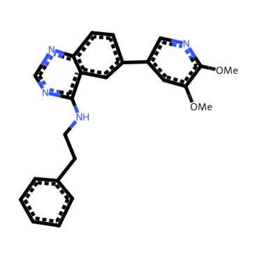 COc1cc(-c2ccc3ncnc(NCCc4ccccc4)c3c2)cnc1OC